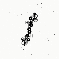 COC(=O)N[C@H](C(=O)N1CCC[C@H]1c1ncc(-c2ccc3cc(-c4ccc5nc([C@@H]6CCCN6C(=O)[C@@H](NC(=O)OC)[C@@H](C)OC)[nH]c5n4)ccc3c2)[nH]1)[C@@H](C)OC